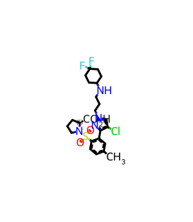 Cc1ccc(S(=O)(=O)N2CCC[C@H]2C(=O)O)c(-c2nn(CCCNC3CCC(F)(F)CC3)cc2Cl)c1